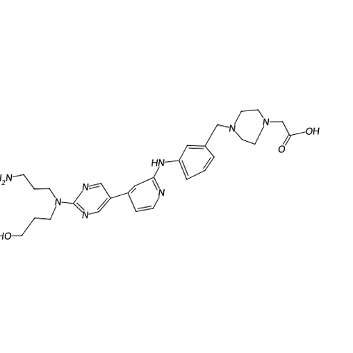 NCCCN(CCCO)c1ncc(-c2ccnc(Nc3cccc(CN4CCN(CC(=O)O)CC4)c3)c2)cn1